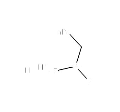 CCCCP(F)F.[H+].[H+]